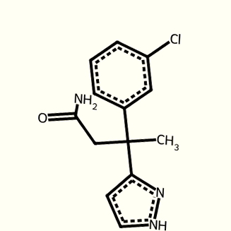 CC(CC(N)=O)(c1cccc(Cl)c1)c1cc[nH]n1